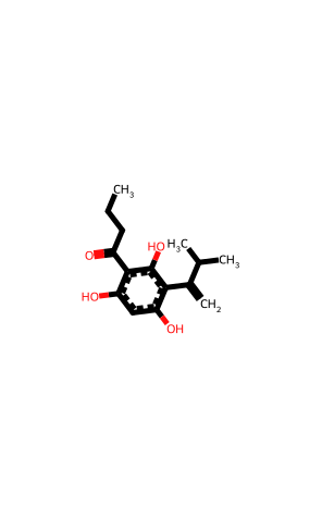 C=C(c1c(O)cc(O)c(C(=O)CCC)c1O)C(C)C